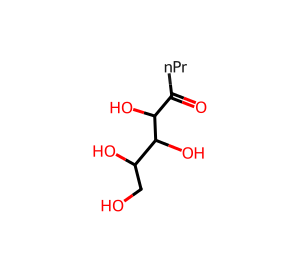 CCCC(=O)C(O)C(O)C(O)CO